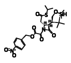 CC(C)SC(=O)C[C@@H]1[C@@H]([C@@H](CO[SiH](C)C)C(C)(C)C)C(=O)N1C(=O)C(=O)OCc1ccc([N+](=O)[O-])cc1